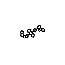 c1ccc2c(c1)ccc1oc3ccc(-c4c5ccccc5c(-c5ccc(-c6cccc7c6oc6ccccc67)cc5)c5ccccc45)cc3c12